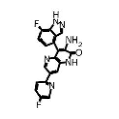 Nc1c(-c2ccc(F)c3[nH]ncc23)c2ncc(-c3ccc(F)cn3)cc2[nH]c1=O